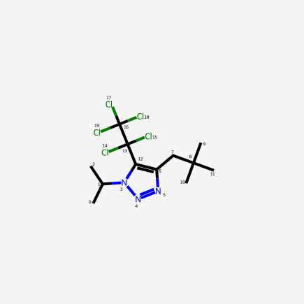 CC(C)n1nnc(CC(C)(C)C)c1C(Cl)(Cl)C(Cl)(Cl)Cl